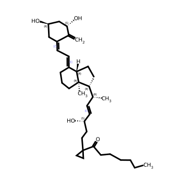 C=C1/C(=C\C=C2/CCC[C@]3(C)[C@@H]([C@H](C)/C=C/[C@@H](O)CCC4(C(=O)CCCCCC)CC4)CC[C@@H]23)C[C@@H](O)C[C@@H]1O